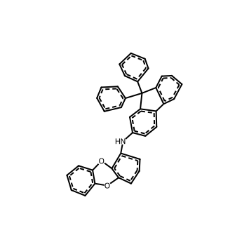 c1ccc(C2(c3ccccc3)c3ccccc3-c3ccc(Nc4cccc5c4Oc4ccccc4O5)cc32)cc1